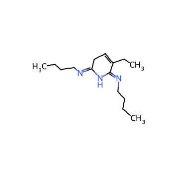 CCCCN=C1CC=C(CC)C(=NCCCC)N1